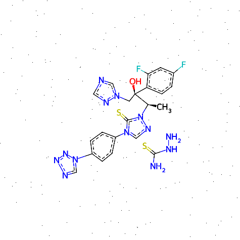 C[C@@H](n1ncn(-c2ccc(-n3cnnn3)cc2)c1=S)[C@](O)(Cn1cncn1)c1ccc(F)cc1F.NNC(N)=S